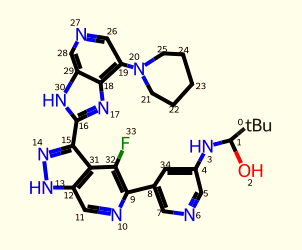 CC(C)(C)C(O)Nc1cncc(-c2ncc3[nH]nc(-c4nc5c(N6CCCCC6)cncc5[nH]4)c3c2F)c1